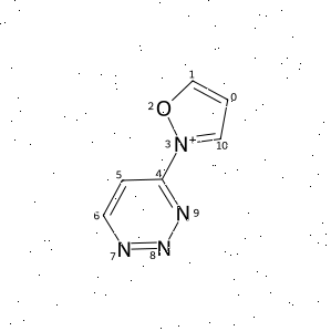 c1co[n+](-c2ccnnn2)c1